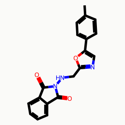 Cc1ccc(-c2cnc(CNN3C(=O)c4ccccc4C3=O)o2)cc1